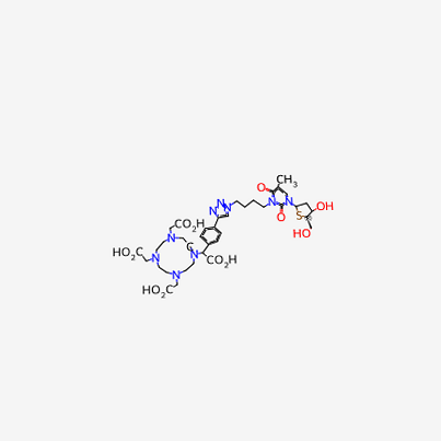 Cc1cn(C2CC(O)[C@@H](CO)S2)c(=O)n(CCCCn2cc(-c3ccc(C(C(=O)O)N4CCN(CC(=O)O)CCN(CC(=O)O)CCN(CC(=O)O)CC4)cc3)nn2)c1=O